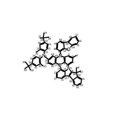 Cc1cc2c3c(c1)-n1c4c(c5cccc(c51)B3c1ccc(N(c3ccc(C(C)(C)C)cc3C)c3ccc(C(C)(C)C)cc3C)cc1N2c1cccc2c1oc1ccccc12)-c1ccccc1C4(C)C